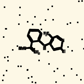 C=C(NC)c1ccccc1Nc1cc(Cl)ncc1C(F)(F)F